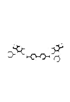 CCc1nc2c(cnn2CC)c(NC2CCOCC2)c1CNC(=O)c1ccc(-c2ccc(C(=O)NCc3c(CC)nc4c(cnn4CC)c3NC3CCOCC3)cn2)nc1